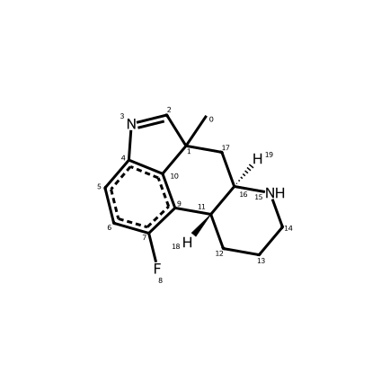 CC12C=Nc3ccc(F)c(c31)[C@H]1CCCN[C@@H]1C2